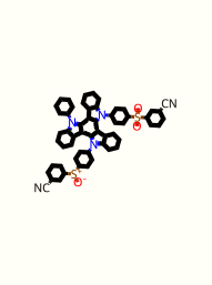 N#Cc1cccc([S+]([O-])c2ccc(-n3c4ccccc4c4c3c3c5ccccc5n(-c5ccccc5)c3c3c5ccccc5n(-c5ccc(S(=O)(=O)c6cccc(C#N)c6)cc5)c34)cc2)c1